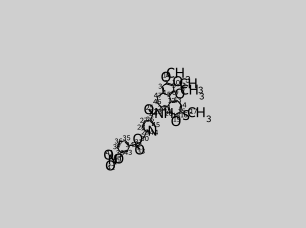 COc1cc2c(c(OC)c1OC)-c1ccc(SC)c(=O)cc1[C@@H](NC(=O)c1ccc(COC(=O)c3cccc(O[N+](=O)[O-])c3)nc1)CC2